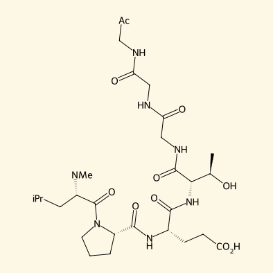 CN[C@@H](CC(C)C)C(=O)N1CCC[C@H]1C(=O)N[C@@H](CCC(=O)O)C(=O)N[C@H](C(=O)NCC(=O)NCC(=O)NCC(C)=O)[C@@H](C)O